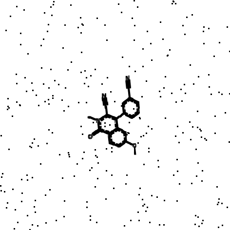 COc1ccc2c(=O)n(C)c(C#N)c(-c3cccc(C#N)c3)c2c1